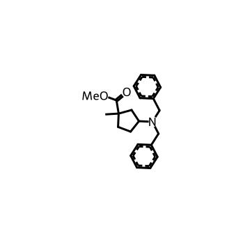 COC(=O)C1(C)CCC(N(Cc2ccccc2)Cc2ccccc2)C1